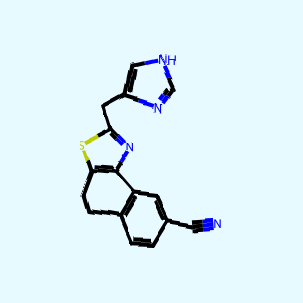 N#Cc1ccc2c(c1)-c1nc(Cc3c[nH]cn3)sc1CC2